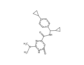 CN(C)c1nc(C(=O)NC(c2ccc(C3CC3)cc2)C2CC2)cc(=O)[nH]1